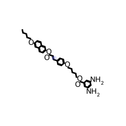 CCCCCOc1ccc2cc(OC(=O)/C=C/c3ccc(OCCCCCOC(=O)c4cc(N)cc(N)c4)cc3)ccc2c1